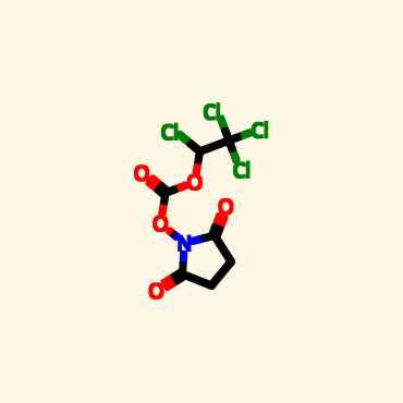 O=C(OC(Cl)C(Cl)(Cl)Cl)ON1C(=O)CCC1=O